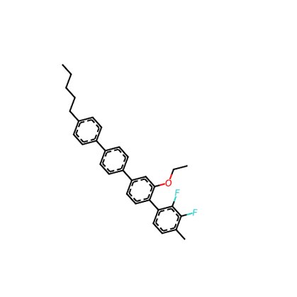 CCCCCc1ccc(-c2ccc(-c3ccc(-c4ccc(C)c(F)c4F)c(OCC)c3)cc2)cc1